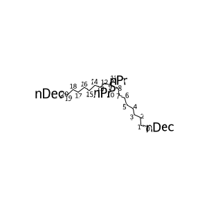 CCCCCCCCCCCCCCCCCCS(CCC)(CCC)CCCCCCCCCCCCCCCCCC